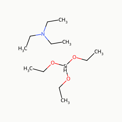 CCN(CC)CC.CCO[SiH](OCC)OCC